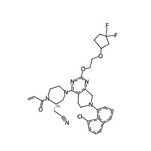 C=CC(=O)N1CCN(c2nc(OCCOC3CCC(F)(F)C3)nc3c2CCN(c2cccc4cccc(Cl)c24)C3)C[C@@H]1CC#N